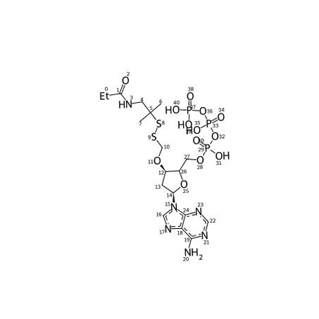 CCC(=O)NCC(C)(C)SSCO[C@@H]1C[C@H](n2cnc3c(N)ncnc32)OC1COP(=O)(O)OP(=O)(O)OP(=O)(O)O